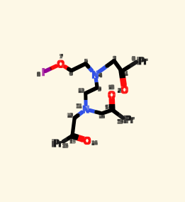 CC(C)C(=O)CN(CCOI)CCN(CC(=O)C(C)C)CC(=O)C(C)C